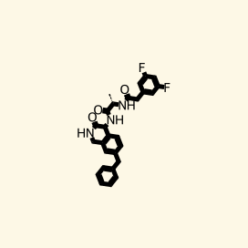 C[C@H](NC(=O)Cc1cc(F)cc(F)c1)C(=O)NC1C(=O)NCc2cc(Cc3ccccc3)ccc21